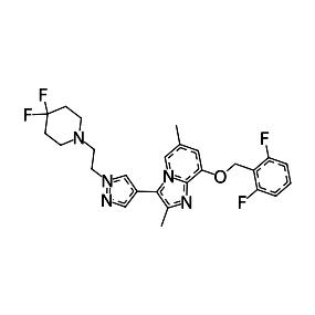 Cc1cc(OCc2c(F)cccc2F)c2nc(C)c(-c3cnn(CCN4CCC(F)(F)CC4)c3)n2c1